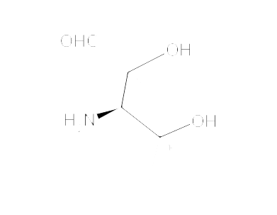 C[C@@H](O)[C@@H](N)[C@@H](O)C=O